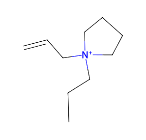 C=CC[N+]1(CCC)CCCC1